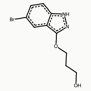 OCCCOc1n[nH]c2ccc(Br)cc12